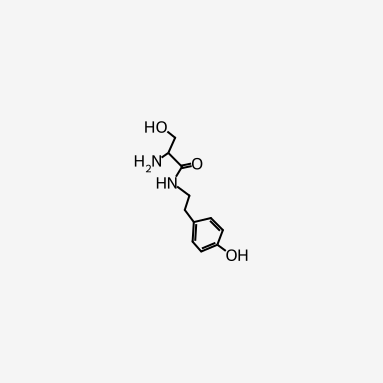 NC(CO)C(=O)NCCc1ccc(O)cc1